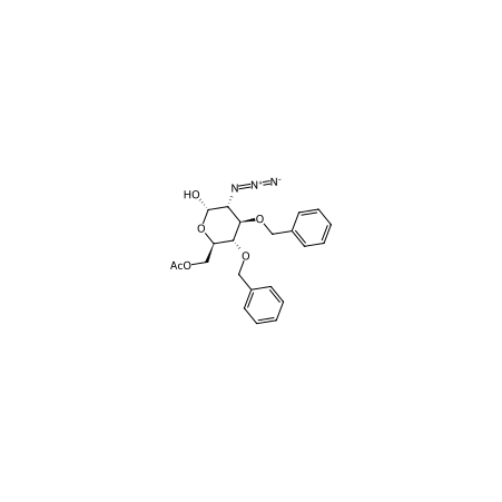 CC(=O)OC[C@H]1O[C@H](O)[C@H](N=[N+]=[N-])[C@@H](OCc2ccccc2)[C@@H]1OCc1ccccc1